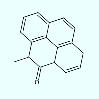 CC1C(=O)C2C=CCc3ccc4cccc1c4c32